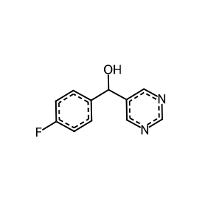 OC(c1ccc(F)cc1)c1cncnc1